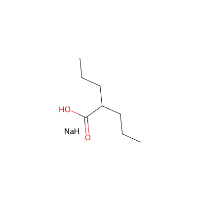 CCCC(CCC)C(=O)O.[NaH]